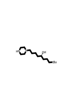 CC(C)(C)CCC[C@@H](O)CCCCN1CCNCC1